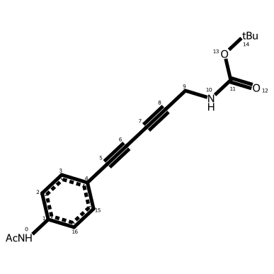 CC(=O)Nc1ccc(C#CC#CCNC(=O)OC(C)(C)C)cc1